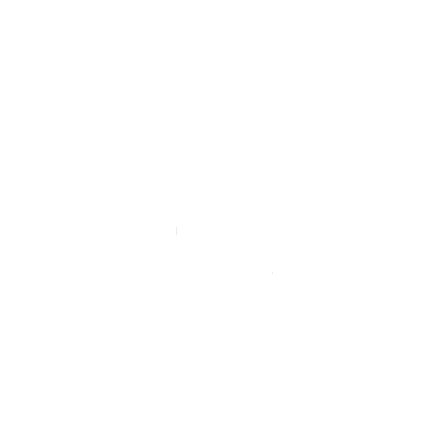 CC(C)Br.F